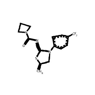 C=C1CN(c2ccc(C(F)(F)F)cc2)C(=NC(=O)N2CCC2)S1